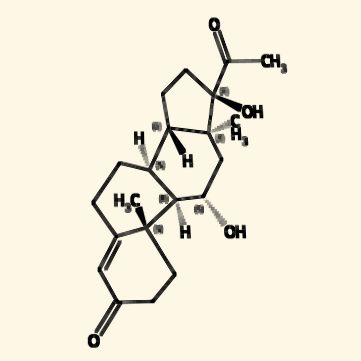 CC(=O)[C@@]1(O)CC[C@H]2[C@@H]3CCC4=CC(=O)CC[C@@]4(C)[C@@H]3[C@@H](O)C[C@@]21C